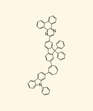 C1=CC(c2ccc3c(c2)C(c2ccccc2)(c2ccccc2)c2cc(-c4cnc5c6ccccc6c6ccccc6c5n4)ccc2-3)=CC(c2ccc3c4ccccc4n(-c4ccccc4)c3c2)=CC1